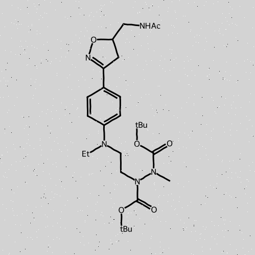 CCN(CCN(C(=O)OC(C)(C)C)N(C)C(=O)OC(C)(C)C)c1ccc(C2=NOC(CNC(C)=O)C2)cc1